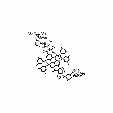 CO[Si](Cc1ccnc(NC(=O)C(CC(C)C)N2C(=O)c3cc(Oc4cc(C)cc(C)c4)c4c5c(Oc6cc(C)cc(C)c6)cc6c7c(cc(Oc8cc(C)cc(C)c8)c(c8c(Oc9cc(C)cc(C)c9)cc(c3c48)C2=O)c75)C(=O)N(C(CC(C)C)C(=O)Nc2cc(C[Si](OC)(OC)OC)ccn2)C6=O)c1)(OC)OC